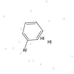 I.I.[Al][c]1ccccc1